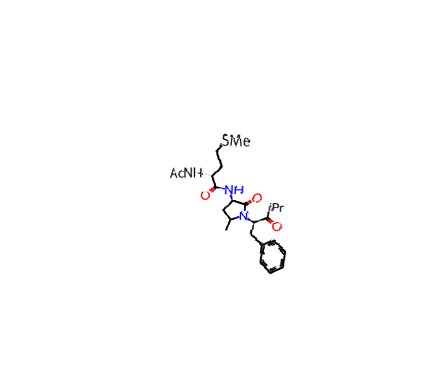 CSCC[C@@H](NC(C)=O)C(=O)N[C@@H]1CC(C)N([C@H](Cc2ccccc2)C(=O)C(C)C)C1=O